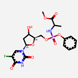 COC(=O)C(C)NP(=O)(OC[C@H]1O[C@@H](n2cc(F)c(=O)[nH]c2=O)CC1O)Oc1ccccc1